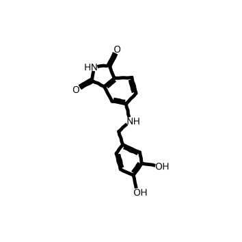 O=C1NC(=O)c2cc(NCc3ccc(O)c(O)c3)ccc21